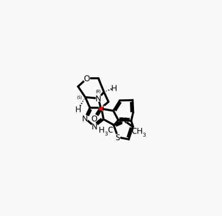 Cc1cccc(C(=O)N2[C@H]3COC[C@@H]2c2nnc(-c4nccs4)n2C3)c1C